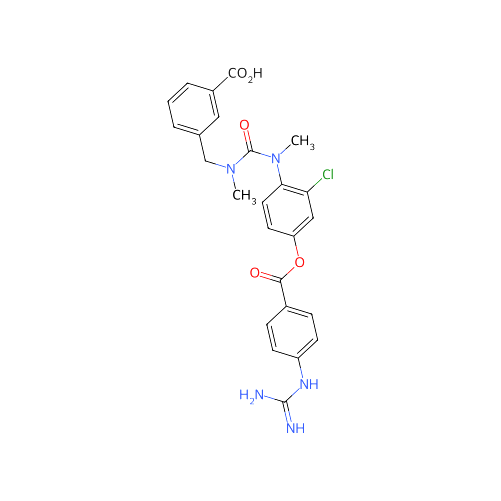 CN(Cc1cccc(C(=O)O)c1)C(=O)N(C)c1ccc(OC(=O)c2ccc(NC(=N)N)cc2)cc1Cl